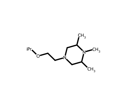 CC(C)OCCN1CC(C)N(C)C(C)C1